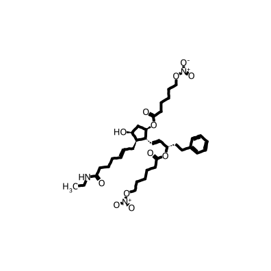 CCNC(=O)CCCC=CC[C@@H]1[C@@H](C=C[C@H](CCc2ccccc2)OC(=O)CCCCCO[N+](=O)[O-])[C@H](OC(=O)CCCCCO[N+](=O)[O-])C[C@@H]1O